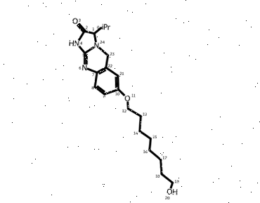 CC(C)C1C(=O)NC2=Nc3ccc(OCCCCCCCCO)cc3CN21